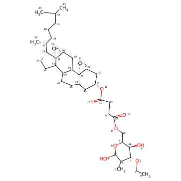 CCO[C@@H]1C(C)C(O)OC(COC(=O)CCC(=O)O[C@H]2CC[C@@]3(C)C(CCC4C3CC[C@@]3(C)C4CC[C@@H]3[C@H](C)CCCC(C)C)C2)[C@H]1O